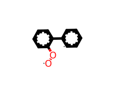 [O]Oc1ccccc1-c1[c]cccc1